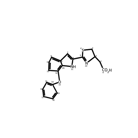 O=C(O)CC1CSC(c2cc3cccc(Oc4ccccc4)c3[nH]2)=N1